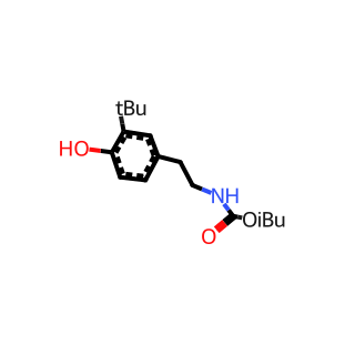 CC(C)COC(=O)NCCc1ccc(O)c(C(C)(C)C)c1